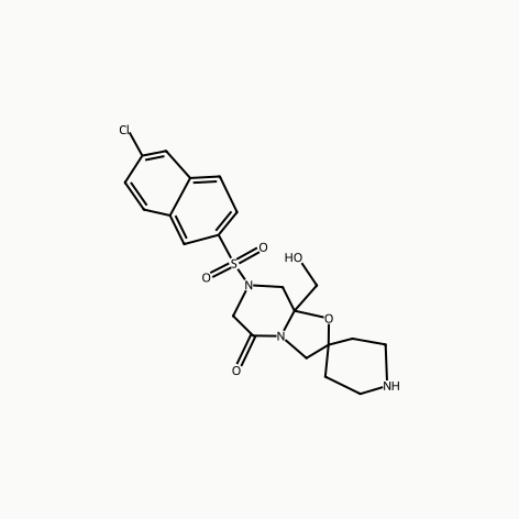 O=C1CN(S(=O)(=O)c2ccc3cc(Cl)ccc3c2)CC2(CO)OC3(CCNCC3)CN12